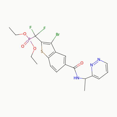 CCOP(=O)(OCC)C(F)(F)c1sc2ccc(C(=O)NC(C)c3cccnn3)cc2c1Br